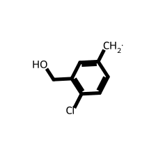 [CH2]c1ccc(Cl)c(CO)c1